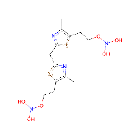 Cc1nc(Cc2nc(C)c(CCON(O)O)s2)sc1CCON(O)O